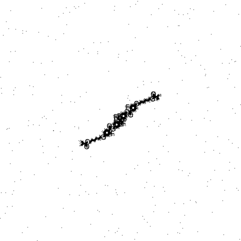 C=C(C)C(=O)OCCCCCCOc1ccc(C(=O)Oc2ccc(C(c3ccc(OC(=O)c4ccc(OCCCCCCOC(=O)C(=C)C)cc4F)cc3)(C(F)(F)F)C(F)(F)F)cc2)c(F)c1